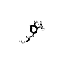 CCNOc1ccc(N)c([N+](=O)[O-])c1